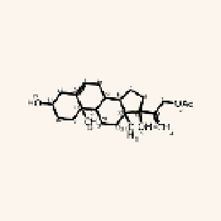 C=C(COC(C)=O)C1(O)CCC2C3CC=C4CC(O)CCC4(C)C3CCC21C